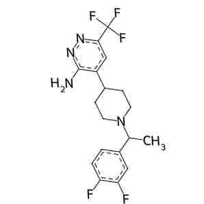 CC(c1ccc(F)c(F)c1)N1CCC(c2cc(C(F)(F)F)nnc2N)CC1